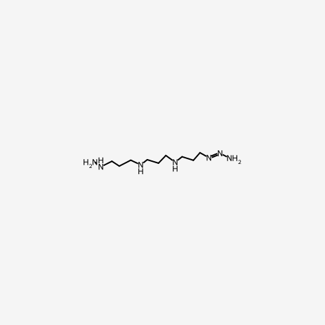 NN=NCCCNCCCNCCCNN